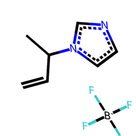 C=CC(C)n1ccnc1.F[B-](F)(F)F